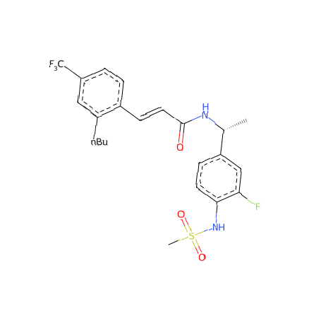 CCCCc1cc(C(F)(F)F)ccc1C=CC(=O)N[C@H](C)c1ccc(NS(C)(=O)=O)c(F)c1